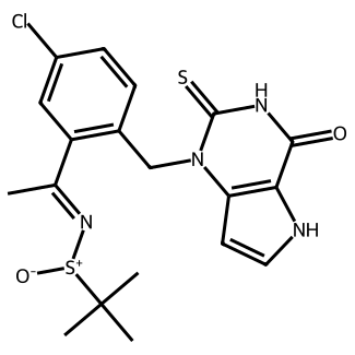 CC(=N[S+]([O-])C(C)(C)C)c1cc(Cl)ccc1Cn1c(=S)[nH]c(=O)c2[nH]ccc21